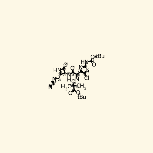 CC(C)(C)OC(=O)Nc1nc(/C(=N/OC(C)(C)C(=O)OC(C)(C)C)C(=O)N[C@@H]2C(=O)N[C@@H]2CN=[N+]=[N-])c(Cl)s1